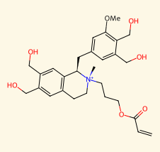 C=CC(=O)OCCC[N@+]1(C)CCc2cc(CO)c(CO)cc2[C@H]1Cc1cc(CO)c(CO)c(OC)c1